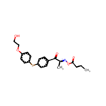 CCCC(=O)O/N=C(\C)C(=O)c1ccc(Sc2ccc(OCCO)cc2)cc1